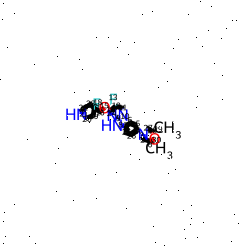 C[C@@H]1CN(c2ccc(Nc3ncc(F)c(OCC4(F)CCNCC4)n3)cc2)C[C@H](C)O1